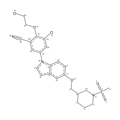 CS(=O)(=O)N1CCCC(COc2ccc3c(ccn3-c3cc(Cl)c(OCCCl)c(C#N)c3)c2)C1